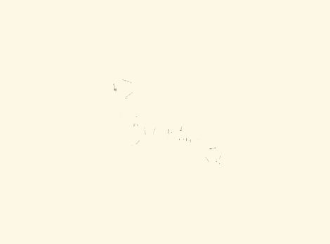 N#Cc1c(NC(=O)C2CC2c2ccccc2)sc2c1CCN(C(=O)NCc1ccncc1)C2